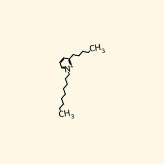 CCCCCCCCC[n+]1cccc(CCCCC)c1